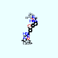 CCCC(=O)N(C[C@H](C)COC)[C@@H](C)c1ncc(-c2ccc3c(c2)COc2cc4c(ccc5nc([C@H](C)N(CC(C)C)C(=O)CCC)[nH]c54)cc2-3)[nH]1